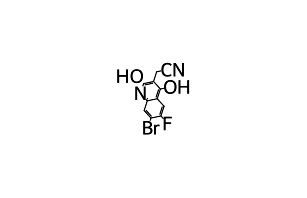 N#CCc1c(O)nc2cc(Br)c(F)cc2c1O